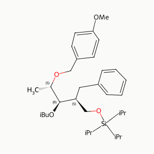 COc1ccc(CO[C@@H](C)[C@H](OCC(C)C)[C@H](CO[Si](C(C)C)(C(C)C)C(C)C)Cc2ccccc2)cc1